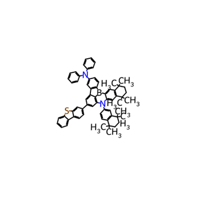 CC1(C)CCC(C)(C)c2cc(N3c4cc5c(cc4B4c6ccc(N(c7ccccc7)c7ccccc7)cc6-c6cc(-c7ccc8c(c7)sc7ccccc78)cc3c64)C(C)(C)CCC5(C)C)ccc21